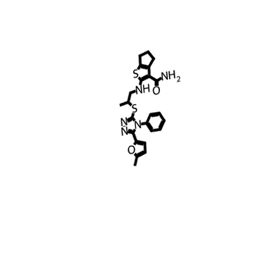 Cc1ccc(-c2nnc(SC(C)CNc3sc4c(c3C(N)=O)CCC4)n2-c2ccccc2)o1